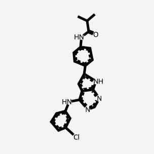 CC(C)C(=O)Nc1ccc(-c2cc3c(Nc4cccc(Cl)c4)ncnc3[nH]2)cc1